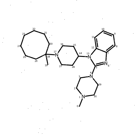 CN1CCN(c2nc3ccccc3n2C2CCN(C3(C)CCCCCCC3)CC2)CC1